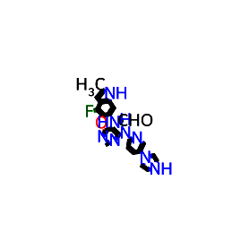 Cc1cc2c(F)c(Oc3ncnc(Nc4ccc(N5CCNCC5)cn4)c3NC=O)ccc2[nH]1